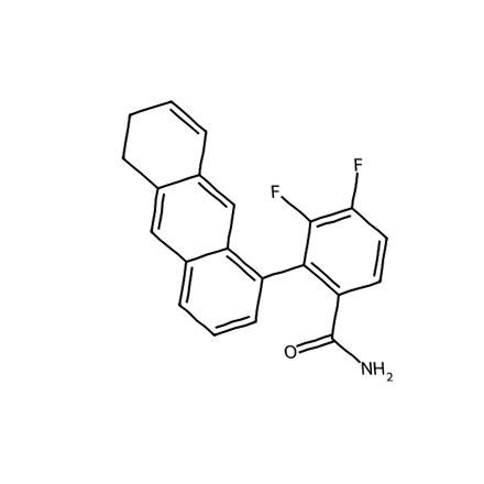 NC(=O)c1ccc(F)c(F)c1-c1cccc2cc3c(cc12)C=CCC3